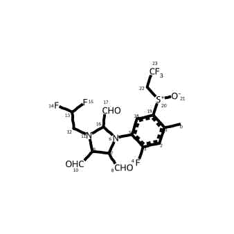 Cc1cc(F)c(N2C(C=O)C(C=O)N(CC(F)F)C2C=O)cc1[S+]([O-])CC(F)(F)F